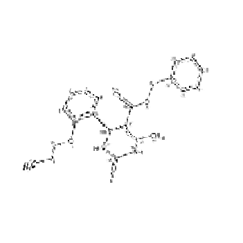 CCCOc1ccccc1C1NC(=S)NC(C)=C1C(=O)OCc1ccccc1